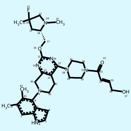 Cc1cc2[nH]ccc2c(N2CCc3c(nc(OC[C@@H]4CC(C)(F)CN4C)nc3N3CCN(C(=O)/C=C/CO)CC3)C2)c1C